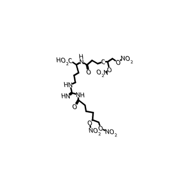 N=C(NCCCC(NC(=O)CCCC(CO[N+](=O)[O-])O[N+](=O)[O-])C(=O)O)NC(=O)CCCC(CO[N+](=O)[O-])O[N+](=O)[O-]